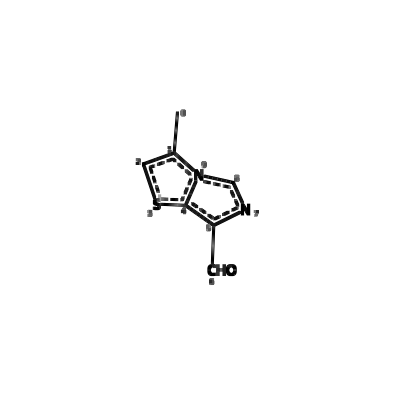 Cc1csc2c(C=O)ncn12